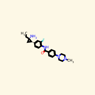 CC[C@]1(N)C[C@H]1c1ccc(NC(=O)c2ccc(N3CCN(C)CC3)cc2)c(F)c1